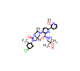 CCOc1ncccc1-c1ccc(N2C[C@H]3CN(c4ccc(Cl)cc4C(F)(F)F)C(=O)N3C[C@H]2CC)c(C(=O)NCC(C)(C)O)n1